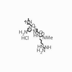 CNC(=O)[C@H](CCCCNC(=N)N)NC(=O)c1csc([C@@H]2C[C@@H](N)CN2C(=O)c2cn(C)c(C)n2)n1.Cl